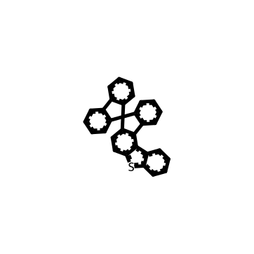 c1ccc2c(c1)-c1ccccc1C21c2ccccc2-c2c1ccc1sc3ccccc3c21